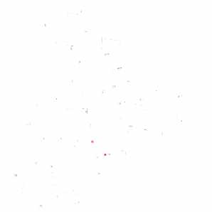 CC1(C)c2ccccc2-c2cc(N(c3ccccc3-c3cccc4oc5ccccc5c34)c3cccc4c3C(C)(C)c3ccccc3-4)ccc21